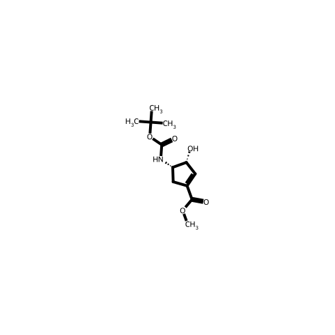 COC(=O)C1=C[C@@H](O)[C@@H](NC(=O)OC(C)(C)C)C1